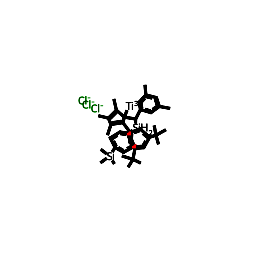 CC1=C(C)[C]([Ti+3])(C([SiH2]c2ccc([Si](C)(C)C)cc2)c2cc(C)cc(C)c2)C(c2cc(C(C)(C)C)cc(C(C)(C)C)c2)=C1C.[Cl-].[Cl-].[Cl-]